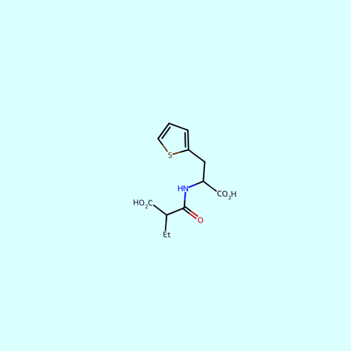 CCC(C(=O)O)C(=O)NC(Cc1cccs1)C(=O)O